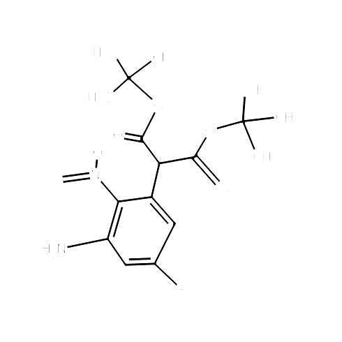 CC(C)(C)OC(=O)C(C(=O)OC(C)(C)C)c1cc(F)cc(N)c1[N+](=O)[O-]